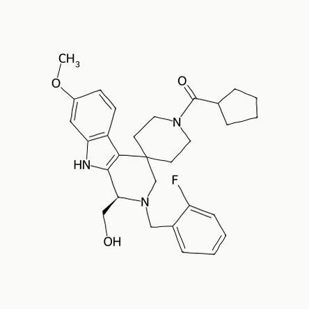 COc1ccc2c3c([nH]c2c1)[C@H](CO)N(Cc1ccccc1F)CC31CCN(C(=O)C2CCCC2)CC1